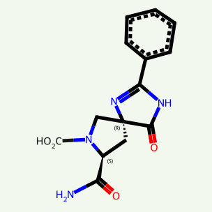 NC(=O)[C@@H]1C[C@]2(CN1C(=O)O)N=C(c1ccccc1)NC2=O